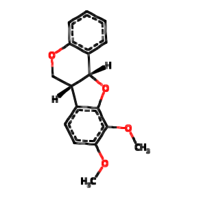 COc1ccc2c(c1OC)O[C@H]1c3ccccc3OC[C@@H]21